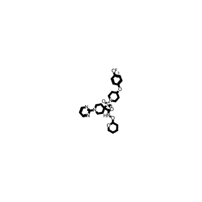 O=C(NOC1CCCCO1)C1(S(=O)(=O)N2CCC(Oc3ccc(C(F)(F)F)cc3)CC2)CCN(c2ncccn2)CC1